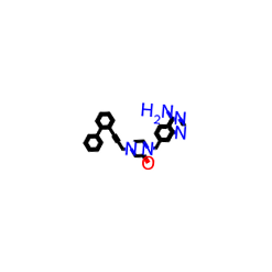 Nc1ncnc2cc(CN3CCN(CC#Cc4ccccc4-c4ccccc4)CC3=O)ccc12